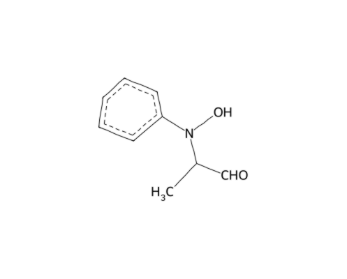 CC(C=O)N(O)c1ccccc1